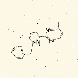 Cc1ccnc(-c2cccc(Cc3ccccc3)n2)n1